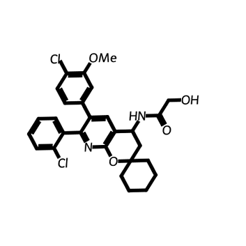 COc1cc(-c2cc3c(nc2-c2ccccc2Cl)OC2(CCCCC2)CC3NC(=O)CO)ccc1Cl